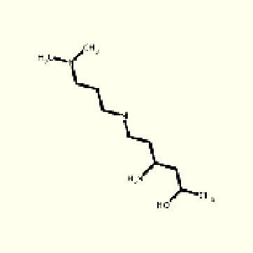 CC(O)CC(N)CCNCCCN(C)C